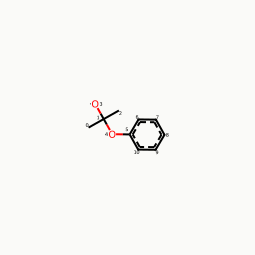 CC(C)([O])Oc1ccccc1